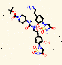 CC(C)(C)OC(=O)N1CCC(NC(=O)NCCc2ccc(N3CC(=O)NS3(=O)=O)c(O)c2)CC1.NCCc1ccc(N2CC(=O)NS2(=O)=O)c(O)c1